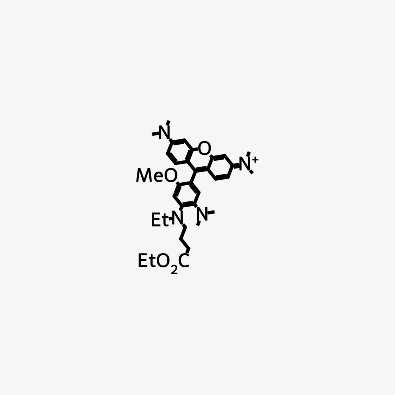 CCOC(=O)CCCN(CC)c1cc(OC)c(-c2c3ccc(=[N+](C)C)cc-3oc3cc(N(C)C)ccc23)cc1N(C)C